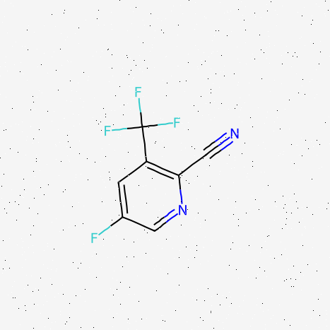 N#Cc1ncc(F)cc1C(F)(F)F